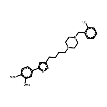 COc1ccc(-c2cc(CCCCN3CCN(Cc4ccccc4C(F)(F)F)CC3)on2)cc1OC